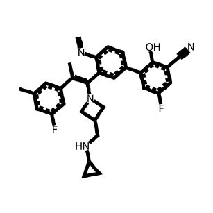 C=Nc1ccc(-c2cc(F)cc(C#N)c2O)cc1/C(=C(\C)c1cc(C)cc(F)c1)N1CC(CNC2CC2)C1